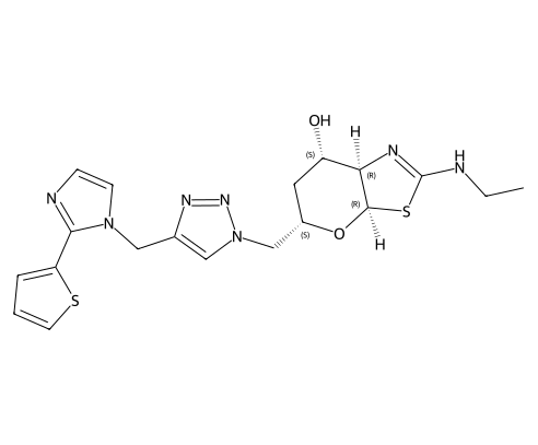 CCNC1=N[C@H]2[C@H](O[C@H](Cn3cc(Cn4ccnc4-c4cccs4)nn3)C[C@@H]2O)S1